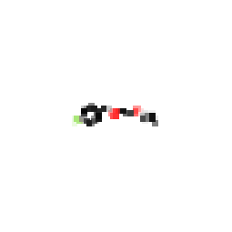 COCCOCc1ccc(F)cc1